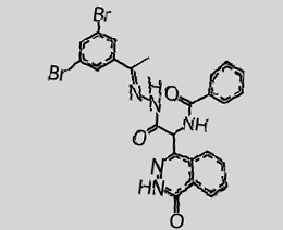 C/C(=N\NC(=O)C(NC(=O)c1ccccc1)c1n[nH]c(=O)c2ccccc12)c1cc(Br)cc(Br)c1